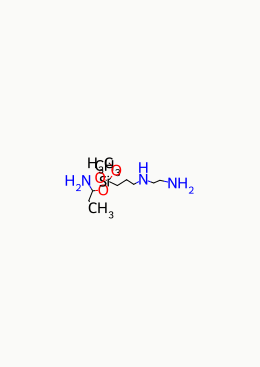 CCC(N)O[Si](CCCNCCN)(OC)OC